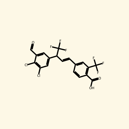 O=Cc1cc(C(C=Cc2ccc(C(=O)O)c(C(F)(F)F)c2)C(F)(F)F)cc(Cl)c1Cl